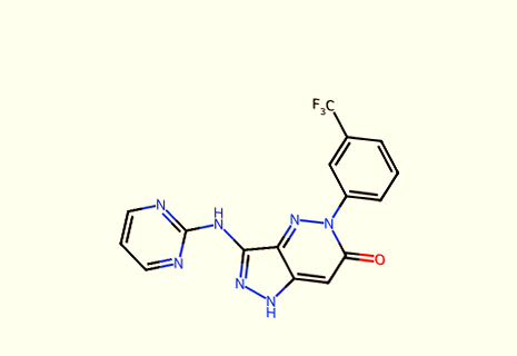 O=c1cc2[nH]nc(Nc3ncccn3)c2nn1-c1cccc(C(F)(F)F)c1